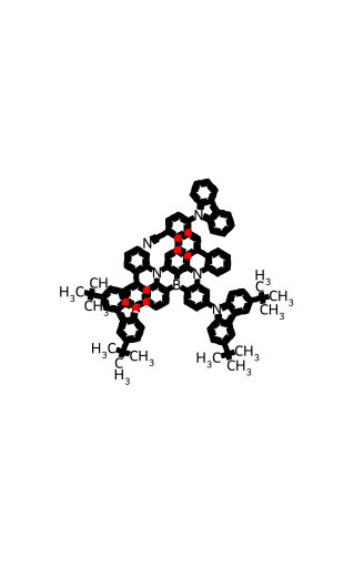 CC(C)(C)c1ccc2c(c1)c1cc(C(C)(C)C)ccc1n2-c1ccc2c(c1)N(c1ccccc1-c1ccccc1)c1cc(-c3cc(-n4c5ccccc5c5ccccc54)ccc3C#N)cc3c1B2c1ccc(-n2c4ccc(C(C)(C)C)cc4c4cc(C(C)(C)C)ccc42)cc1N3c1ccccc1-c1ccccc1